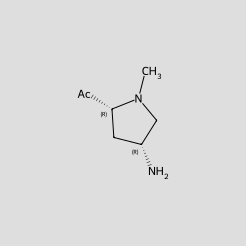 CC(=O)[C@H]1C[C@@H](N)CN1C